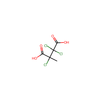 CC(Cl)(C(=O)O)C(Cl)(Cl)C(=O)O